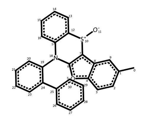 Cc1ccc2oc3c(c2c1)[S+]([O-])c1ccccc1N3c1ccccc1-c1ccccc1